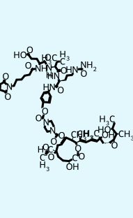 CC[C@H](O)[C@@H](C)[C@H]1O[C@@H]1C[C@@](C)(O)/C=C/C=C(\C)[C@H]1OC(=O)C[C@H](O)CC[C@@](C)(OC(C)=O)[C@@H](OC(=O)N2CCN(C(=O)OCc3ccc(NC(=O)[C@H](CCCNC(N)=O)NC(=O)[C@@H](NC(=O)C(CCC(=O)O)NC(=O)CCCCCN4C(=O)C=CC4=O)C(C)C)cc3)CC2)/C=C/[C@@H]1C